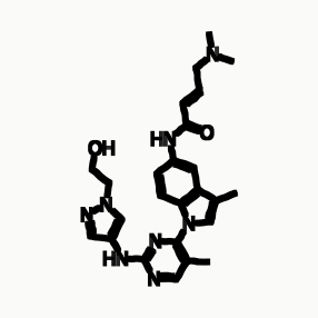 Cc1cnc(Nc2cnn(CCO)c2)nc1-n1cc(C)c2cc(NC(=O)/C=C/CN(C)C)ccc21